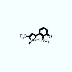 CN1NC(C2=C([N+](=O)[O-])C(=O)CC=C2)C=C1C(F)(F)F